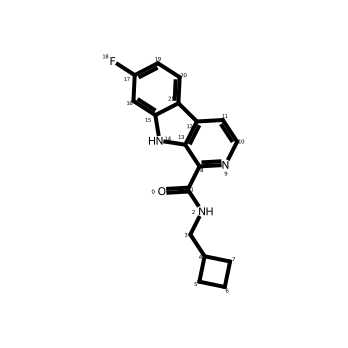 O=C(NCC1CCC1)c1nccc2c1[nH]c1cc(F)ccc12